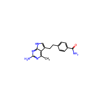 Cc1nc(N)nc2[nH]cc(CCc3ccc(C(N)=O)cc3)c12